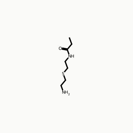 CCC(=O)NCCSCCN